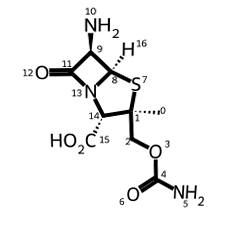 C[C@@]1(COC(N)=O)S[C@@H]2[C@H](N)C(=O)N2[C@H]1C(=O)O